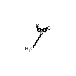 CCCCCCCCCCCCn1c2ccc(C=O)cc2c2cc(C=O)ccc21